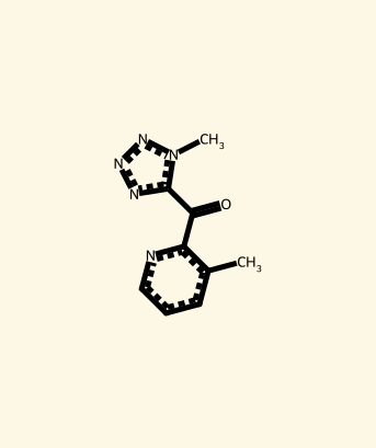 Cc1cccnc1C(=O)c1nnnn1C